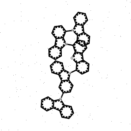 c1cc(-n2c3ccccc3c3cc(-n4c5ccccc5c5ccccc54)ccc32)c2oc3c(-n4c5ccccc5c5cccc(-n6c7ccccc7c7ccccc76)c54)cccc3c2c1